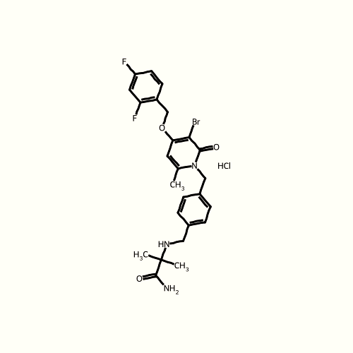 Cc1cc(OCc2ccc(F)cc2F)c(Br)c(=O)n1Cc1ccc(CNC(C)(C)C(N)=O)cc1.Cl